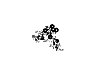 CN[C@@H](C)C(=O)N[C@H](C(=O)N1CCC[C@H]1C(=O)Nc1cc2c(N[C@@H](C3=CCCC=C3)[C@@H](Nc3ncnc4cc(OC)c(NC(=O)C5CCCN5C(=O)[C@@H](NC(=O)C(C)C)C(C)(C)C)cc34)c3ccccc3)ncnc2cc1OC)C(C)(C)C